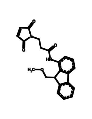 COCC1c2ccccc2-c2cccc(NC(=O)CCN3C(=O)C=CC3=O)c21